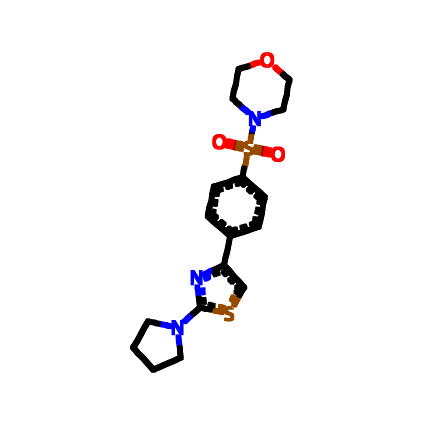 O=S(=O)(c1ccc(-c2csc(N3CCCC3)n2)cc1)N1CCOCC1